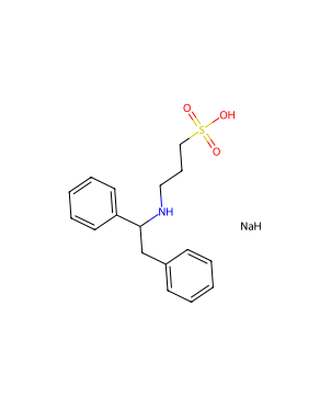 O=S(=O)(O)CCCNC(Cc1ccccc1)c1ccccc1.[NaH]